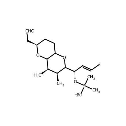 C[C@@H]1C([C@H](/C=C/I)O[Si](C)(C)C(C)(C)C)OC2CC[C@H](CC=O)OC2[C@@H]1C